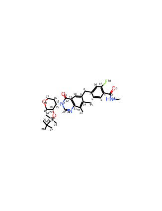 CNC(=O)c1ccc(Cc2cc3c(=O)n([C@H]4CCOC[C@@H]4O[Si](C)(C)C(C)(C)C)cnc3c(C)c2C)cc1F